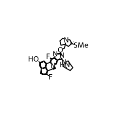 C#Cc1c(F)ccc2cc(O)cc(-c3ncc4c(N5CC6CCC(C5)N6)nc(OCC56CCCN5C[C@@H](SC)C6)nc4c3F)c12